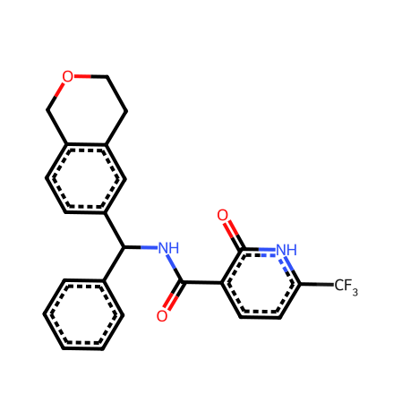 O=C(NC(c1ccccc1)c1ccc2c(c1)CCOC2)c1ccc(C(F)(F)F)[nH]c1=O